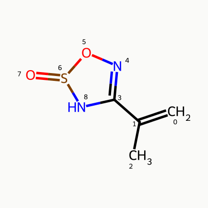 C=C(C)C1=NOS(=O)N1